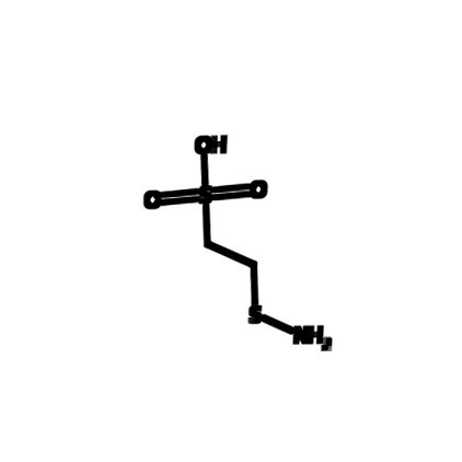 NSCCS(=O)(=O)O